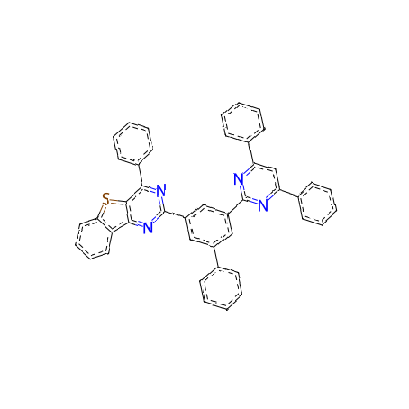 c1ccc(-c2cc(-c3nc(-c4ccccc4)cc(-c4ccccc4)n3)cc(-c3nc(-c4ccccc4)c4sc5ccccc5c4n3)c2)cc1